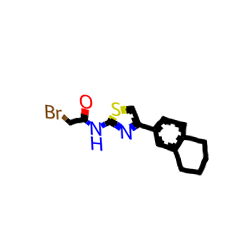 O=C(CBr)Nc1nc(-c2ccc3c(c2)CCCC3)cs1